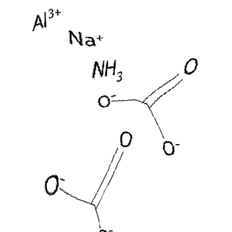 N.O=C([O-])[O-].O=C([O-])[O-].[Al+3].[Na+]